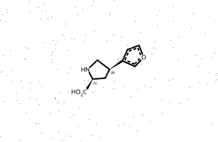 O=C(O)[C@@H]1C[C@H](c2ccoc2)CN1